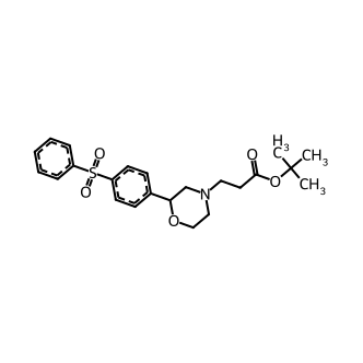 CC(C)(C)OC(=O)CCN1CCOC(c2ccc(S(=O)(=O)c3ccccc3)cc2)C1